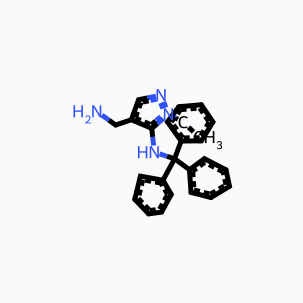 CCn1ncc(CN)c1NC(c1ccccc1)(c1ccccc1)c1ccccc1